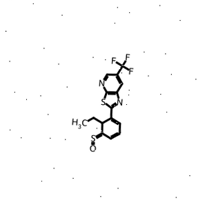 CCC1C(c2nc3cc(C(F)(F)F)cnc3s2)=CC=CC1=S=O